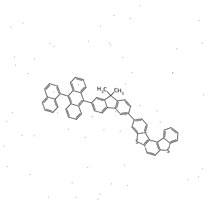 CC1(C)c2ccc(-c3ccc4c(c3)sc3ccc5sc6ccccc6c5c34)cc2-c2ccc(-c3c4ccccc4c(-c4cccc5ccccc45)c4ccccc34)cc21